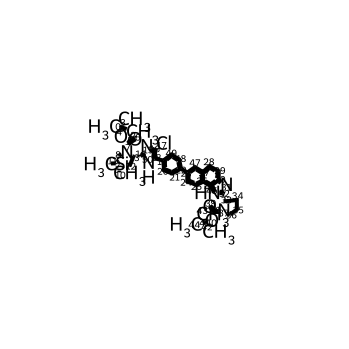 CC(C)(C)OC(=O)N1C[Si](C)(C)C[C@H]1c1nc(Cl)c(-c2ccc(-c3ccc4c(ccc5nc([C@@H]6CCCN6C(=O)OC(C)(C)C)[nH]c54)c3)cc2)[nH]1